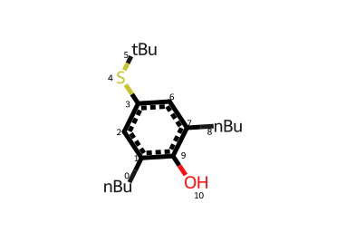 CCCCc1cc(SC(C)(C)C)cc(CCCC)c1O